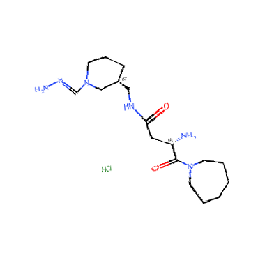 Cl.NN=CN1CCC[C@@H](CNC(=O)C[C@H](N)C(=O)N2CCCCCC2)C1